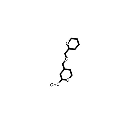 O=CC1CC(COCC2CCCCO2)CCO1